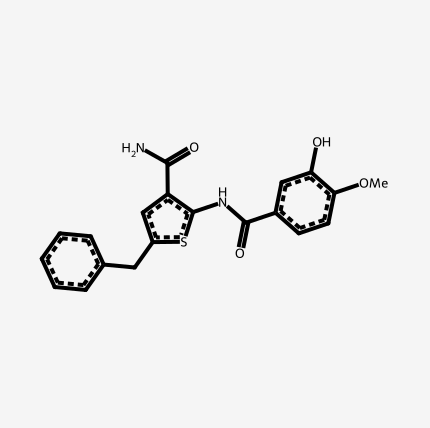 COc1ccc(C(=O)Nc2sc(Cc3ccccc3)cc2C(N)=O)cc1O